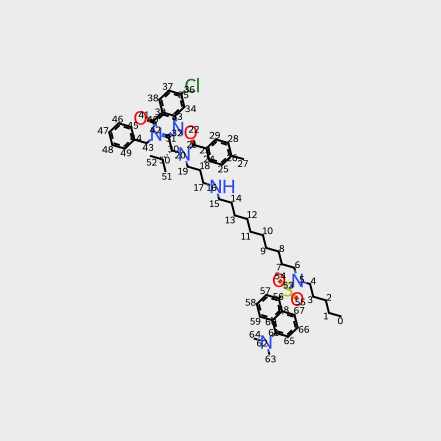 CCCCCN(CCCCCCCCCCNCCCN(C(=O)c1ccc(C)cc1)[C@@H](c1nc2cc(Cl)ccc2c(=O)n1Cc1ccccc1)C(C)C)S(=O)(=O)c1cccc2c(N(C)C)cccc12